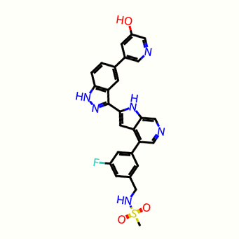 CS(=O)(=O)NCc1cc(F)cc(-c2cncc3[nH]c(-c4n[nH]c5ccc(-c6cncc(O)c6)cc45)cc23)c1